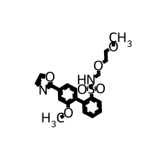 COCCOCNS(=O)(=O)c1ccccc1-c1ccc(-c2ncco2)cc1OC